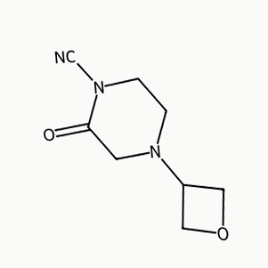 N#CN1CCN(C2COC2)CC1=O